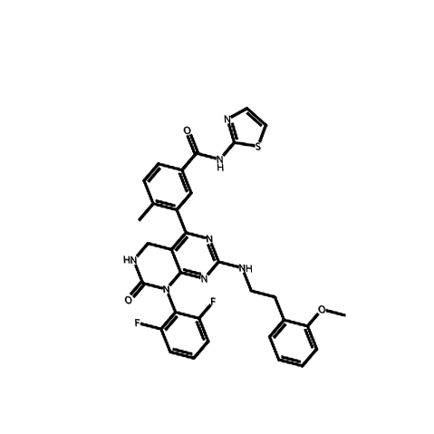 COc1ccccc1CCNc1nc(-c2cc(C(=O)Nc3nccs3)ccc2C)c2c(n1)N(c1c(F)cccc1F)C(=O)NC2